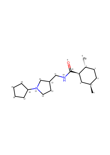 CC(C)[C@@H]1CC[C@@H](C)C[C@H]1C(=O)NCC1CCN(C2CCCC2)C1